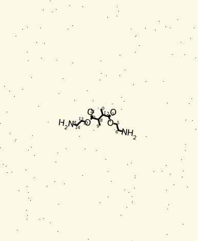 CC(C(=O)OCCN)C(C)C(=O)OCCN